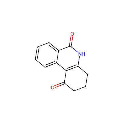 O=C1CCCc2[nH]c(=O)c3ccccc3c21